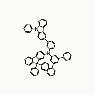 c1ccc(-c2cc(-c3ccccc3)cc(N(c3cccc(-c4ccc5c(c4)c4ccccc4n5-c4ccccc4)c3)c3ccc4c(c3)C(c3ccccc3)(c3ccccc3)c3ccccc3-4)c2)cc1